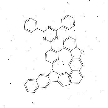 c1ccc(-c2nc(-c3ccccc3)nc(-c3ccc(-n4c5ccccc5c5cc6ccccc6cc54)cc3-c3cccc4oc5cc6ccccc6cc5c34)n2)cc1